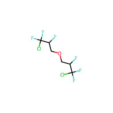 FC(COCC(F)C(F)(F)Cl)C(F)(F)Cl